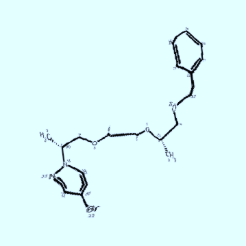 C[C@H](COCCO[C@@H](C)COCc1ccccc1)n1cc(Br)cn1